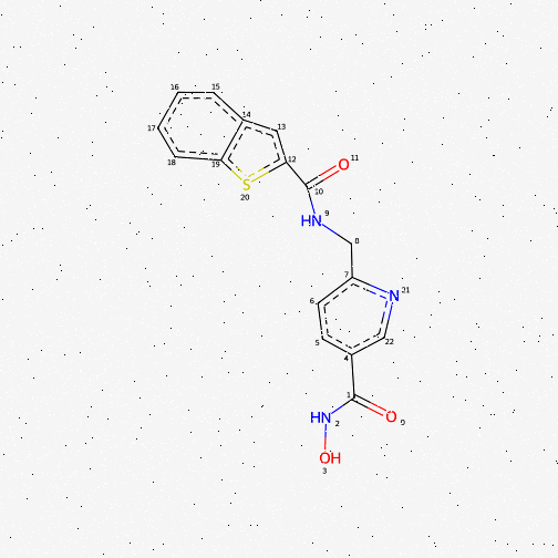 O=C(NO)c1ccc(CNC(=O)c2cc3ccccc3s2)nc1